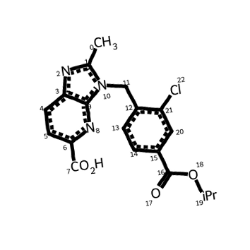 Cc1nc2ccc(C(=O)O)nc2n1Cc1ccc(C(=O)OC(C)C)cc1Cl